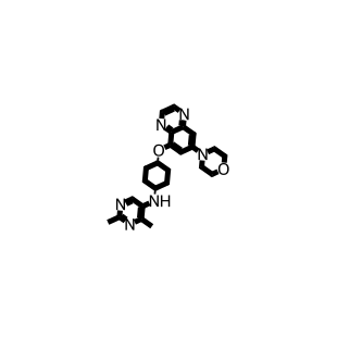 Cc1ncc(N[C@H]2CC[C@@H](Oc3cc(N4CCOCC4)cc4nccnc34)CC2)c(C)n1